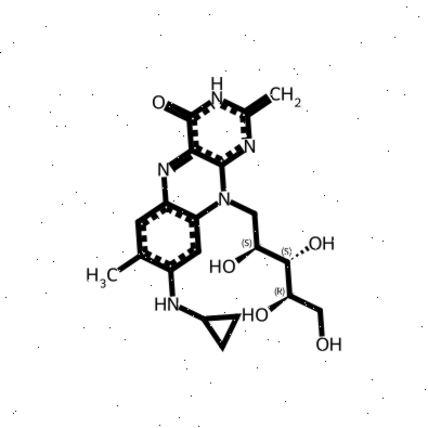 C=c1nc2c(c(=O)[nH]1)=Nc1cc(C)c(NC3CC3)cc1N2C[C@H](O)[C@H](O)[C@H](O)CO